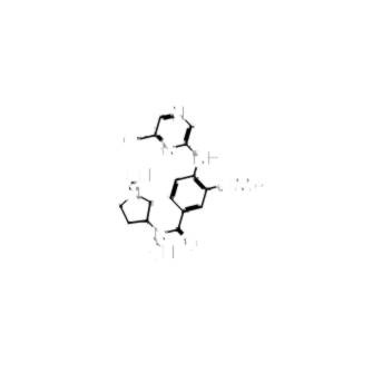 COc1cc(C(=O)N(C)C2CCN(C)C2)ccc1Nc1cncc(Cl)n1